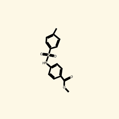 COC(=O)c1ccc(NS(=O)(=O)c2ccc(C)cc2)cc1